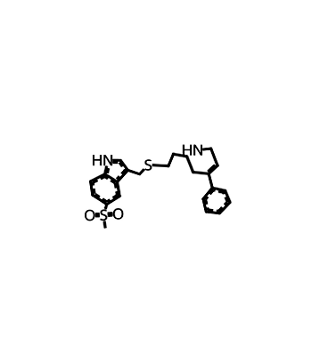 CS(=O)(=O)c1ccc2[nH]cc(CSCCC3CC(c4ccccc4)=CCN3)c2c1